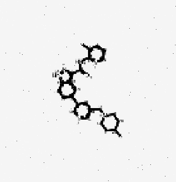 Cc1cccnc1NC(=O)c1n[nH]c2ccc(-c3cncc(CN4CCC(C)CC4)c3)cc12